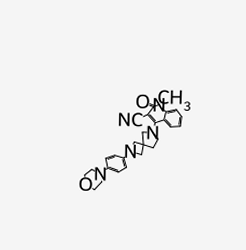 Cn1c(=O)c(C#N)c(N2CCC3(CN(c4ccc(N5CCOCC5)cc4)C3)C2)c2ccccc21